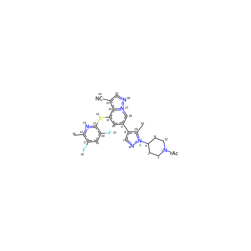 CC(=O)N1CCC(n2ncc(-c3cc(Sc4nc(C)c(F)cc4F)c4c(C#N)cnn4c3)c2C)CC1